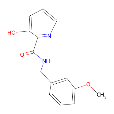 COc1cccc(CNC(=O)c2ncccc2O)c1